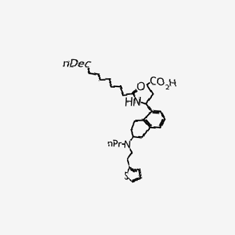 CCCCCCCCCCCCCCCCCC(=O)NC(CCC(=O)O)c1cccc2c1CC[C@H](N(CCC)CCc1cccs1)C2